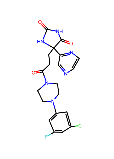 O=C1NC(=O)C(CCC(=O)N2CCN(c3cc(F)cc(Cl)c3)CC2)(c2cnccn2)N1